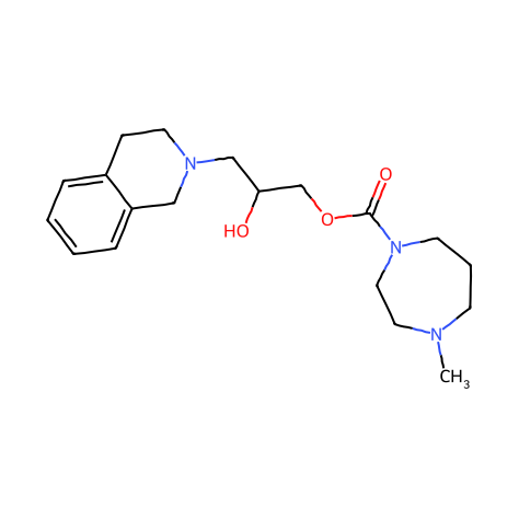 CN1CCCN(C(=O)OCC(O)CN2CCc3ccccc3C2)CC1